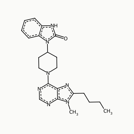 CCCCc1nc2c(N3CCC(n4c(=O)[nH]c5ccccc54)CC3)ncnc2n1C